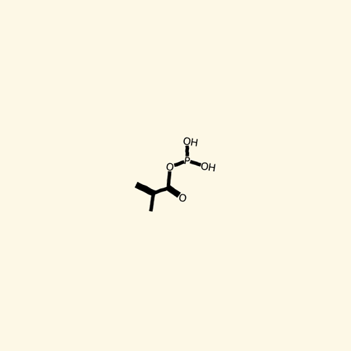 C=C(C)C(=O)OP(O)O